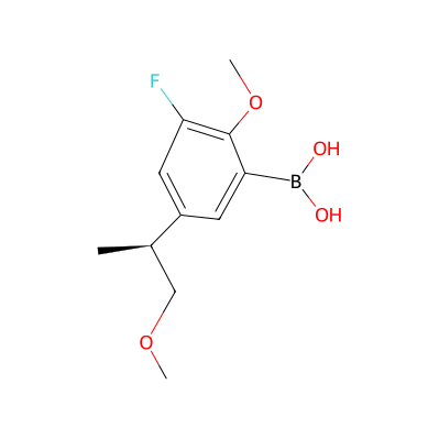 COC[C@@H](C)c1cc(F)c(OC)c(B(O)O)c1